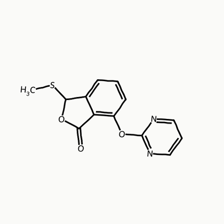 CSC1OC(=O)c2c(Oc3ncccn3)cccc21